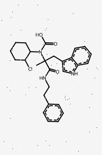 CC(Cc1c[nH]c2ccccc12)(C(=O)NCCc1ccccc1)N(C(=O)O)C1CCCCC1Cl